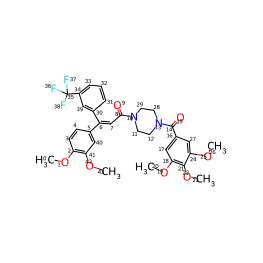 COc1ccc(C(=CC(=O)N2CCN(C(=O)c3cc(OC)c(OC)c(OC)c3)CC2)c2cccc(C(F)(F)F)c2)cc1OC